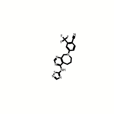 N#Cc1ccc(N2CCCc3c(ncnc3Nc3ncns3)C2)cc1C(F)(F)F